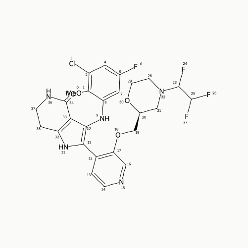 COc1c(Cl)cc(F)cc1Nc1c(-c2ccncc2OC[C@@H]2CN(C(F)C(F)F)CCO2)[nH]c2c1C(=O)NCC2